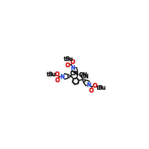 CC(C)(C)OC(=O)N1CC2C(C1)C2(C#N)c1cccc(C2(C#N)C3CN(C(=O)OC(C)(C)C)CC32)c1C1(C#N)C2CN(C(=O)OC(C)(C)C)CC21